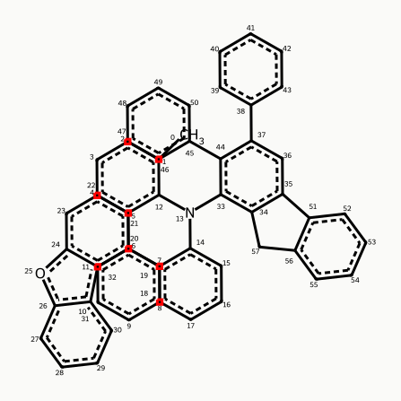 Cc1cccc(-c2ccccc2)c1N(c1ccccc1-c1cccc2oc3ccccc3c12)c1c2c(cc(-c3ccccc3)c1-c1ccccc1)-c1ccccc1C2